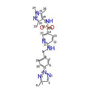 Cc1cnn(-c2ccc(CNc3ccc(S(=O)(=O)Nc4c(C)nn(C)c4C)cn3)cc2)n1